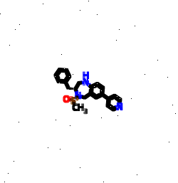 C[S+]([O-])N1Cc2cc(-c3ccncc3)ccc2NC[C@H]1Cc1ccccc1